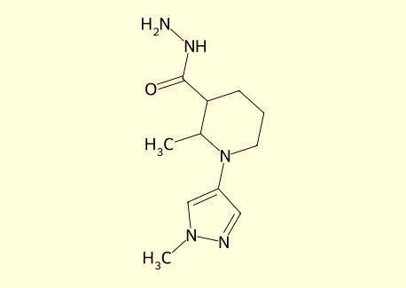 CC1C(C(=O)NN)CCCN1c1cnn(C)c1